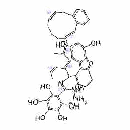 C\C=C/C(=C\C(C)=C\C1=C\c2ccccc2C/C=C\CCC1)C(/N=C(\NN)c1c(O)c(O)c(O)c(O)c1O)C1=C(O)CCc2oc3c(O)cc(O)cc3c21